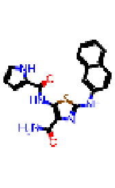 NC(=O)c1nc(Nc2ccc3ccccc3c2)sc1NC(=O)c1ccc[nH]1